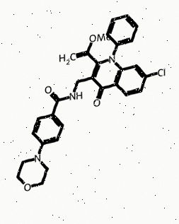 C=C(OC)c1c(CNC(=O)c2ccc(N3CCOCC3)cc2)c(=O)c2ccc(Cl)cc2n1-c1ccccc1